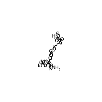 CCC(c1cccc(-c2nc(C3CCC4(CC3)CCN(C(=O)CN3CCN(CCCc5cccc6c5C(=O)N(C5CCC(=O)NC5=O)C6=O)CC3)CC4)sc2-c2ccnc(N)n2)c1F)S(N)(=O)=O